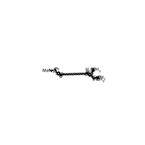 CNCCSC(CCC1CCC(C(=O)OCCCCCCCCCCCCCCCCCCCCOC(=O)C2CCC(CCC(SCCN(C)C)C(C)C)C(SCCN(C)C)C2)CC1)C(C)C